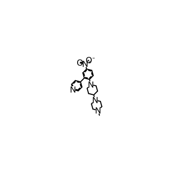 CN1CCN(C2CCN(c3ccc([N+](=O)[O-])cc3-c3ccncc3)CC2)CC1